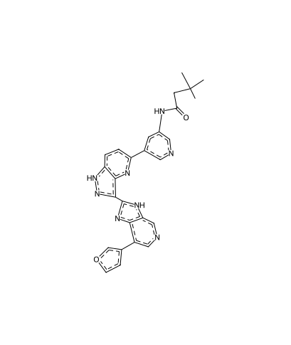 CC(C)(C)CC(=O)Nc1cncc(-c2ccc3[nH]nc(-c4nc5c(-c6ccoc6)cncc5[nH]4)c3n2)c1